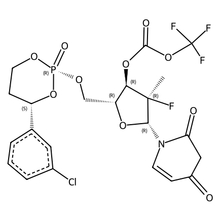 C[C@@]1(F)[C@H](OC(=O)OC(F)(F)F)[C@@H](CO[P@@]2(=O)OCC[C@@H](c3cccc(Cl)c3)O2)O[C@H]1N1C=CC(=O)CC1=O